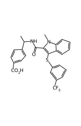 CC(NC(=O)c1c(Sc2cccc(C(F)(F)F)c2)c2ccccc2n1C)c1ccc(C(=O)O)cc1